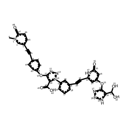 Cn1cc(C#Cc2ccc(Oc3nnn(-c4cccc(C#Cc5cc(Oc6nn[nH]c6C(O)O)cc(=O)[nH]5)c4)c3C(=O)O)cc2)ccc1=O